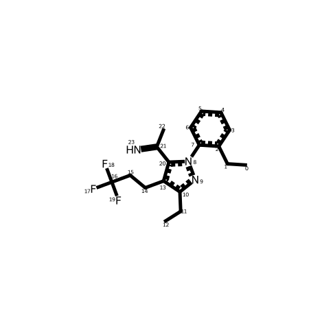 CCc1ccccc1-n1nc(CC)c(CCC(F)(F)F)c1C(C)=N